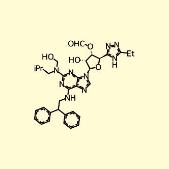 CCc1nnc([C@H]2O[C@@H](n3cnc4c(NCC(c5ccccc5)c5ccccc5)nc(N(CO)CC(C)C)nc43)[C@H](O)[C@@H]2OC=O)[nH]1